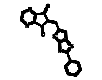 O=C1C(=Cc2cc3sc(-c4ccccc4)nc3s2)C(=O)c2nccnc21